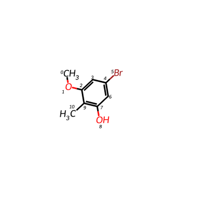 COc1cc(Br)cc(O)c1C